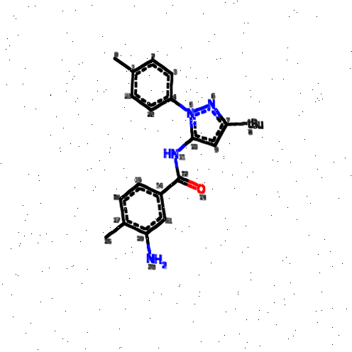 Cc1ccc(-n2nc(C(C)(C)C)cc2NC(=O)c2ccc(C)c(N)c2)cc1